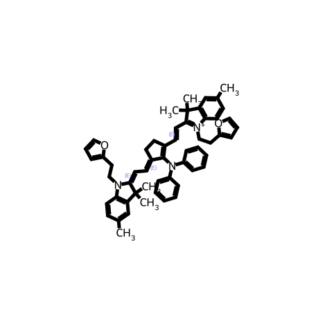 Cc1ccc2c(c1)C(C)(C)C(/C=C/C1=C(N(c3ccccc3)c3ccccc3)C(=C/C=C3/N(CCc4ccco4)c4ccc(C)cc4C3(C)C)/CC1)=[N+]2CCc1ccco1